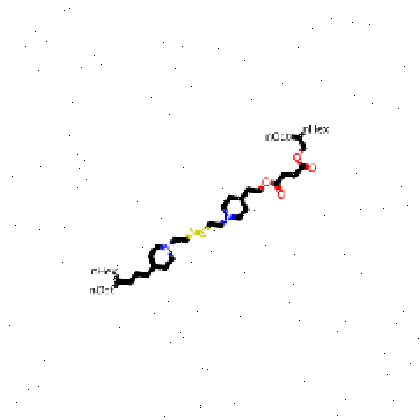 CCCCCC[CH]CC(CCCCCC)CCCC1CCN(CCSSCCN2CCC(CCOC(=O)CCC(=O)OCC(CCCCCC)CCCCCCCC)CC2)CC1